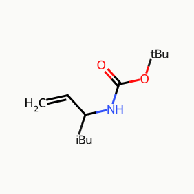 C=C[C](NC(=O)OC(C)(C)C)C(C)CC